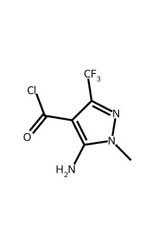 Cn1nc(C(F)(F)F)c(C(=O)Cl)c1N